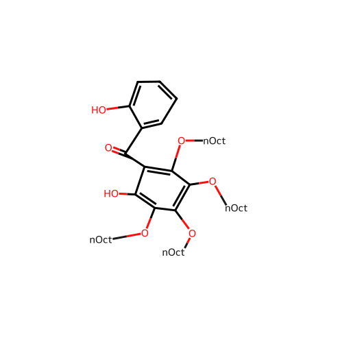 CCCCCCCCOc1c(O)c(C(=O)c2ccccc2O)c(OCCCCCCCC)c(OCCCCCCCC)c1OCCCCCCCC